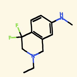 CCN1Cc2cc(NC)ccc2C(F)(F)C1